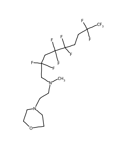 CN(CCN1CCOCC1)CC(F)(F)CC(F)(F)C(F)(F)CCC(F)(F)C(F)(F)F